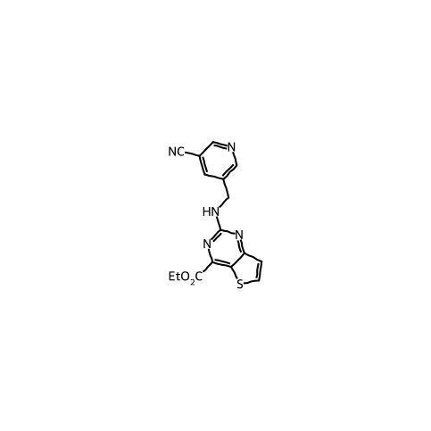 CCOC(=O)c1nc(NCc2cncc(C#N)c2)nc2ccsc12